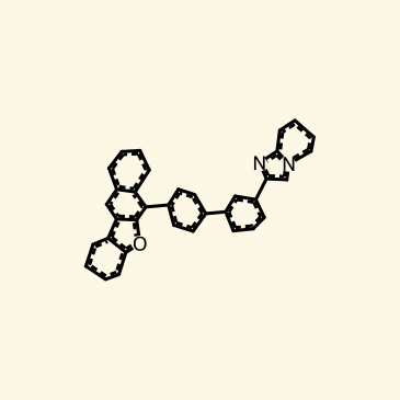 c1cc(-c2ccc(-c3c4ccccc4cc4c3oc3ccccc34)cc2)cc(-c2cn3ccccc3n2)c1